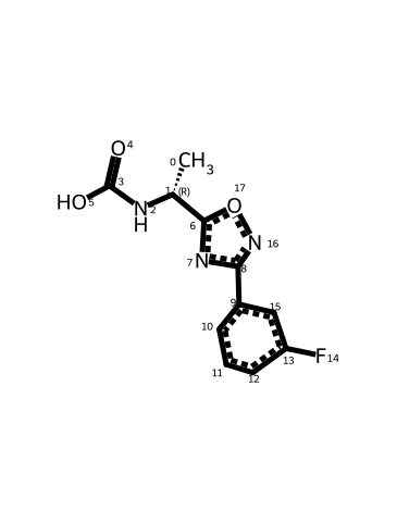 C[C@@H](NC(=O)O)c1nc(-c2cccc(F)c2)no1